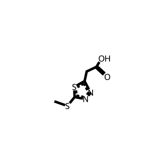 CSc1nnc(CC(=O)O)s1